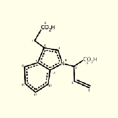 C=CC(C(=O)O)n1cc(CC(=O)O)c2ccccc21